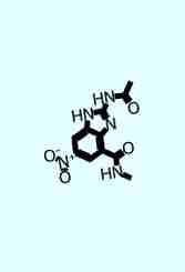 CNC(=O)c1cc([N+](=O)[O-])cc2[nH]c(NC(C)=O)nc12